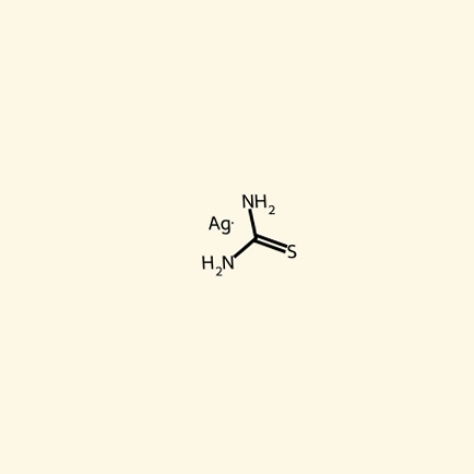 NC(N)=S.[Ag]